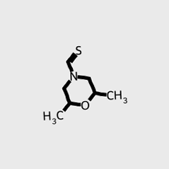 CC1CN(C=S)CC(C)O1